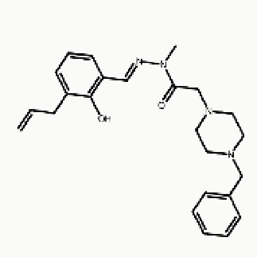 C=CCc1cccc(/C=N/N(C)C(=O)CN2CCN(Cc3ccccc3)CC2)c1O